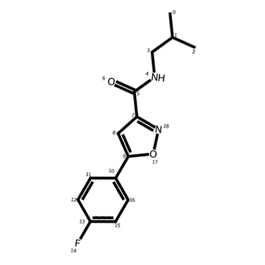 CC(C)CNC(=O)c1cc(-c2ccc(F)cc2)on1